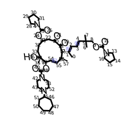 C/C(=C\C=C\C(C)(C)COC(=O)N1CCCC1)[C@H]1C(=O)C(=O)C[C@@H](OC(=O)N2CCCC2)CC[C@@](C)(O)[C@H](OC(=O)N2CCN(C3CCCCCC3)CC2)/C=C/[C@@H]1C